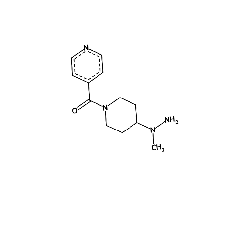 CN(N)C1CCN(C(=O)c2ccncc2)CC1